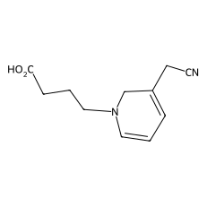 N#CCC1=CC=CN(CCCC(=O)O)C1